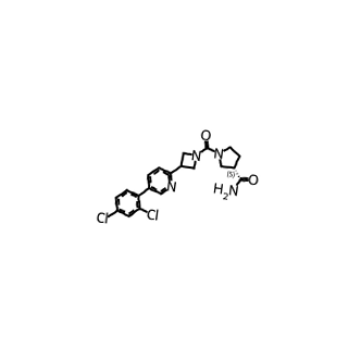 NC(=O)[C@H]1CCN(C(=O)N2CC(c3ccc(-c4ccc(Cl)cc4Cl)cn3)C2)C1